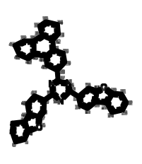 c1ccc2c(c1)oc1cc(-c3nc(-c4ccc5c(c4)oc4ccccc45)nc(-c4ccc5c6ccccc6c6ccccc6c5c4)n3)ccc12